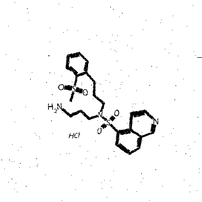 CS(=O)(=O)c1ccccc1CCCN(CCCN)S(=O)(=O)c1cccc2cnccc12.Cl